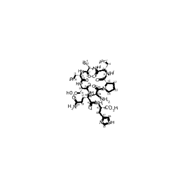 CC[C@H](C)[C@H](NC(=O)[C@H](CC(C)C)NC(=O)[C@@H]1CCCN1C(=O)[C@@H](N)C(C)C)C(=O)N[C@@H](CC(C)C)C(=O)N[C@@H](CC(=O)O)C(=O)N[C@@H](CCC(N)=O)C(=O)N[C@@H](Cc1c[nH]cn1)C(=O)O